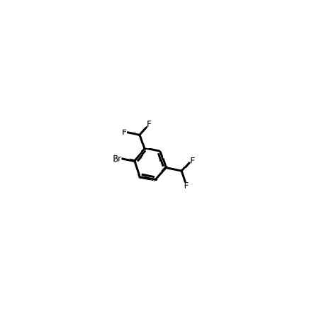 FC(F)c1ccc(Br)c(C(F)F)c1